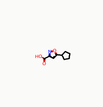 O=C(O)c1cc(C2CCCC2)on1